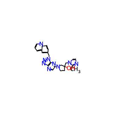 Cc1nccn1CC1(O)CCN(c2cnc3nnn(Cc4ccc5ncccc5c4)c3n2)C1